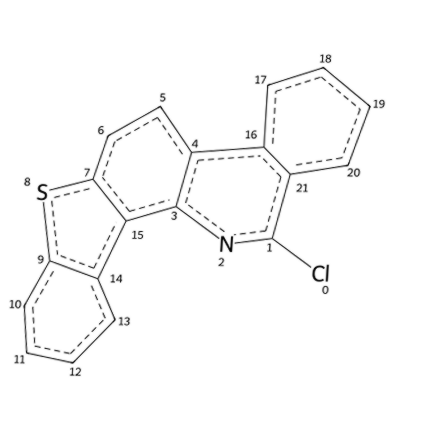 Clc1nc2c(ccc3sc4ccccc4c32)c2ccccc12